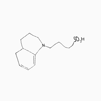 O=S(=O)(O)CCCN1CCCC2CC=CC=C21